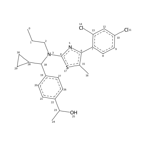 CCCN(c1nc(-c2ccc(Cl)cc2Cl)c(C)s1)C(c1ccc(C(C)O)cc1)C1CC1